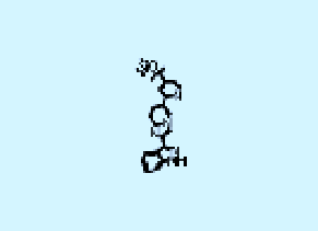 CC(C)(O[Si](C)(C)C)c1ccnc(-c2ccc3nc(-c4n[nH]c5ccccc45)cn3c2)c1